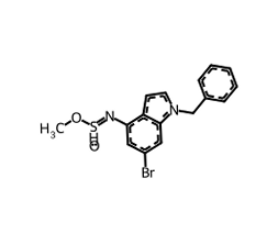 CO[SH](=O)=Nc1cc(Br)cc2c1ccn2Cc1ccccc1